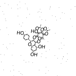 CC(=O)O[C@@H]1[C@@H](OC(C)=O)[C@@H](O)[C@H](Oc2c(-c3ccc(O)cc3)oc3cc(O)cc(O)c3c2=O)O[C@H]1C